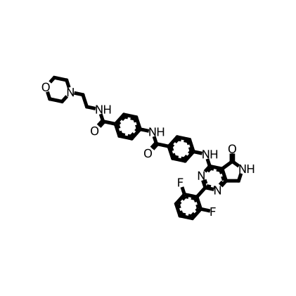 O=C(NCCN1CCOCC1)c1ccc(NC(=O)c2ccc(Nc3nc(-c4c(F)cccc4F)nc4c3C(=O)NC4)cc2)cc1